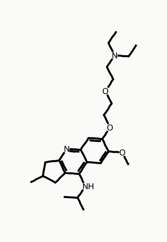 CCN(CC)CCOCCOc1cc2nc3c(c(NC(C)C)c2cc1OC)CC(C)C3